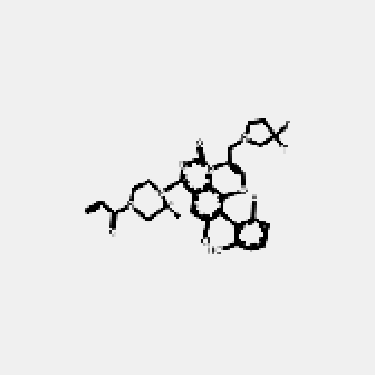 C=CC(=O)N1CCN(c2nc(=O)n3c4c(c(-c5c(O)cccc5F)c(Cl)cc24)OC=C3CN2CCC(F)(F)C2)[C@@H](C)C1